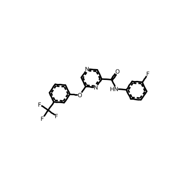 O=C(Nc1cccc(F)c1)c1cncc(Oc2cccc(C(F)(F)F)c2)n1